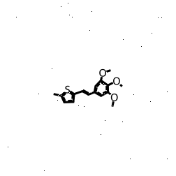 COc1cc(/C=C/c2ccc(C)s2)cc(OC)c1OC